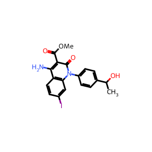 COC(=O)c1c(N)c2ccc(I)cc2n(-c2ccc(C(C)O)cc2)c1=O